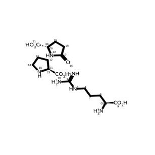 N=C(N)NCCC[C@H](N)C(=O)O.O=C(O)[C@@H]1CCCN1.O=C1CC[C@@H](C(=O)O)N1